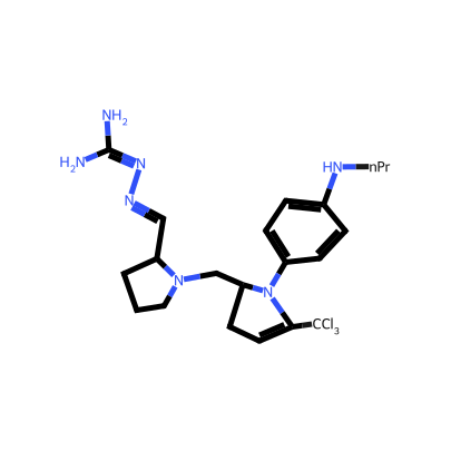 CCCNc1ccc(N2C(C(Cl)(Cl)Cl)=CCC2CN2CCCC2/C=N/N=C(N)N)cc1